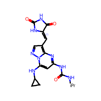 CC(C)NC(=O)Nc1cc(NC2CC2)n2ncc(/C=C3\NC(=O)NC3=O)c2n1